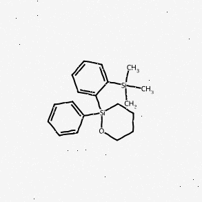 C[Si](C)(C)c1ccccc1[Si]1(c2ccccc2)CCCCO1